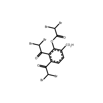 O=C(O)c1ccc(C(=O)C(Br)Br)c(C(=O)C(Br)Br)c1OC(=O)C(Br)Br